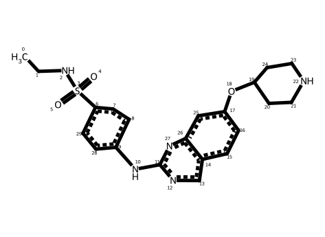 CCNS(=O)(=O)c1ccc(Nc2ncc3ccc(OC4CCNCC4)cc3n2)cc1